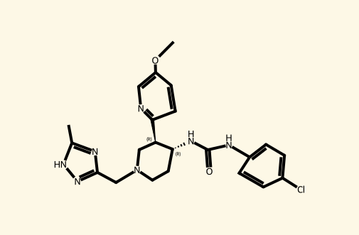 COc1ccc([C@@H]2CN(Cc3n[nH]c(C)n3)CC[C@H]2NC(=O)Nc2ccc(Cl)cc2)nc1